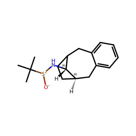 CC(C)(C)[S+]([O-])N[C@@H]1C2CC[C@@H]1Cc1ccccc1C2